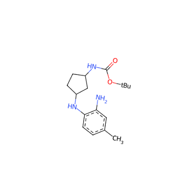 Cc1ccc(NC2CCC(NC(=O)OC(C)(C)C)C2)c(N)c1